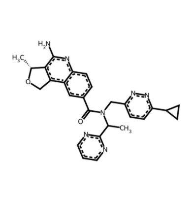 CC(c1ncccn1)N(Cc1ccc(C2CC2)nn1)C(=O)c1ccc2nc(N)c3c(c2c1)CO[C@@H]3C